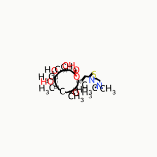 CC(=Cc1csc(CN(C)C)n1)[C@@H]1C[C@@H]2O[C@]2(C)CCC[C@H](C)[C@H](O)[C@@H](C)C(=O)C(C)(C)[C@@H](O)CC(=O)O1